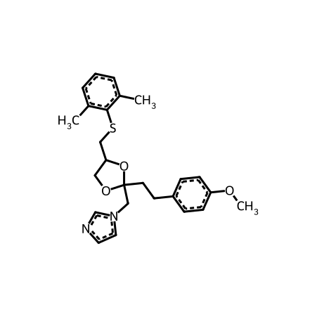 COc1ccc(CCC2(Cn3ccnc3)OCC(CSc3c(C)cccc3C)O2)cc1